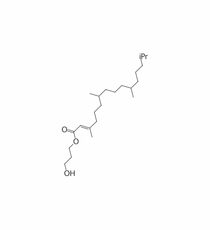 CC(=CC(=O)OCCCO)CCCC(C)CCCC(C)CCCC(C)C